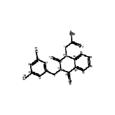 O=C(O)Cn1c(=O)n(Cc2cc(Cl)cc(Cl)c2)c(=O)c2ccccc21